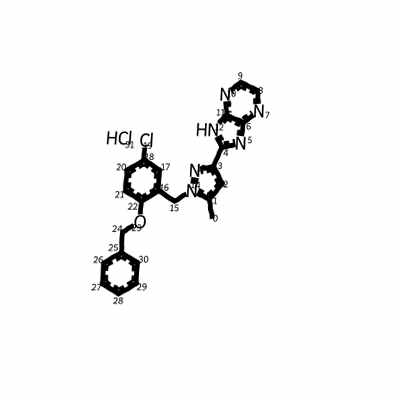 Cc1cc(-c2nc3nccnc3[nH]2)nn1Cc1cc(Cl)ccc1OCc1ccccc1.Cl